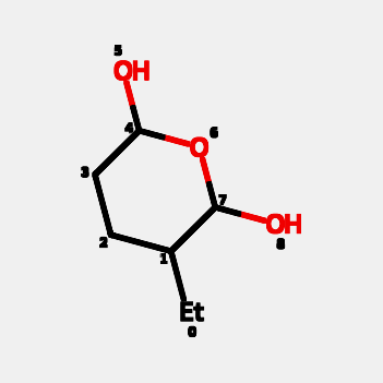 [CH2]CC1CCC(O)OC1O